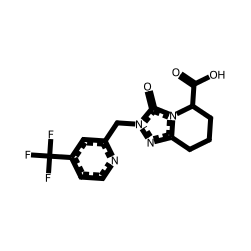 O=C(O)C1CCCc2nn(Cc3cc(C(F)(F)F)ccn3)c(=O)n21